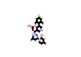 Cc1ccn([C@@H](CN[C@@H](CC(=O)O)c2cncc(-c3c(C)cc(F)cc3C)c2)CC(C)C)c(=O)c1